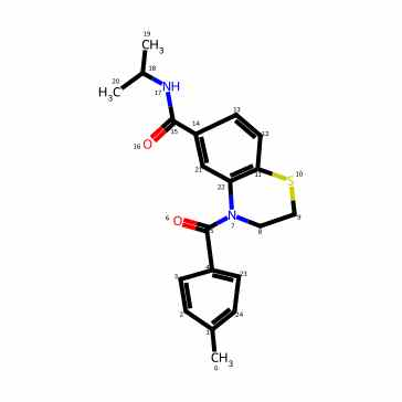 Cc1ccc(C(=O)N2CCSc3ccc(C(=O)NC(C)C)cc32)cc1